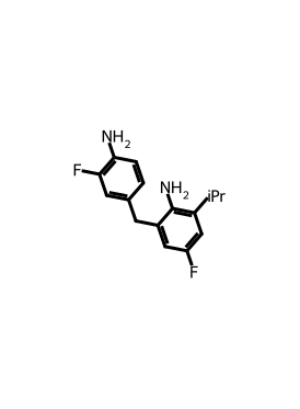 CC(C)c1cc(F)cc(Cc2ccc(N)c(F)c2)c1N